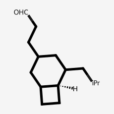 CC(C)CC1CC(CCC=O)CC2CC[C@@H]21